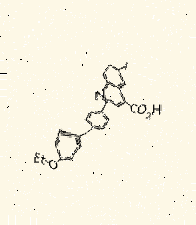 CCOc1ccc(-c2ccc(-c3cc(C(=O)O)c4cc(I)ccc4n3)cc2)cc1